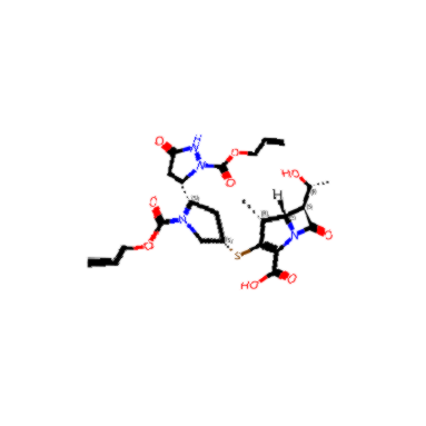 C=CCOC(=O)N1NC(=O)CC1[C@@H]1C[C@H](SC2=C(C(=O)O)N3C(=O)[C@H]([C@@H](C)O)[C@H]3[C@H]2C)CN1C(=O)OCC=C